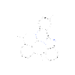 Cc1ccc2nc(-c3c(C(C)C)cccc3C(C)C)n3c4ccccc4nc3c2c1